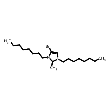 CCCCCCCCN1C=C(Br)N(CCCCCCCC)C1C